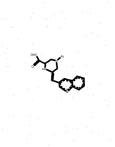 CC(=O)N1CC(=Cc2cnc3ccccc3c2)NC(C(=O)C=O)C1